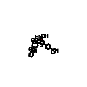 O=C(C[C@]1(c2ccc(-c3ccc(-c4cnco4)cc3)s2)CCN(S(=O)(=O)N2CCCC2)CCS1(=O)=O)NO